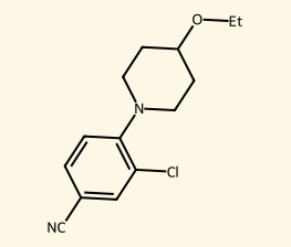 CCOC1CCN(c2ccc(C#N)cc2Cl)CC1